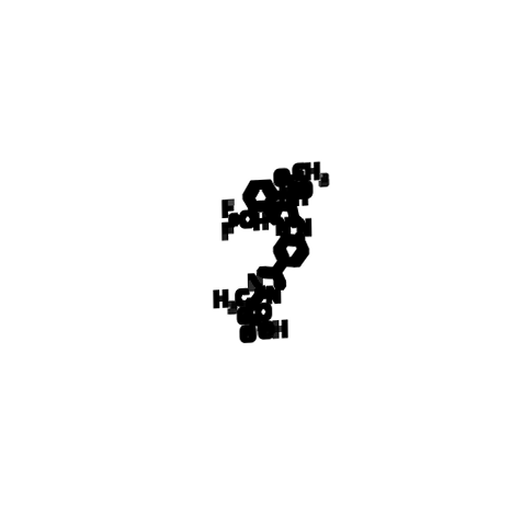 CC1(c2ncc(-c3ccc4nc5n(c4c3)[C@@H]3C[C@H]5N(S(C)(=O)=O)c4cccc(OC(F)F)c43)cn2)OP(=O)(O)O1